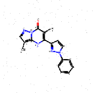 CC(C)c1c(-c2ccn(-c3ccccc3)n2)[nH]c2c(C#N)cnn2c1=O